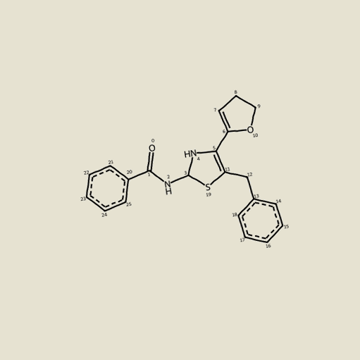 O=C(NC1NC(C2=CCCO2)=C(Cc2ccccc2)S1)c1ccccc1